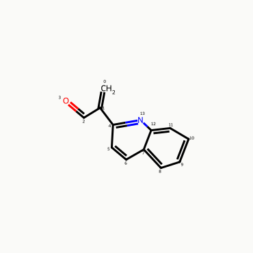 C=C(C=O)c1ccc2ccccc2n1